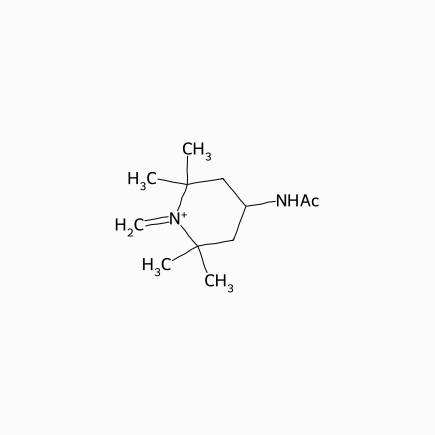 C=[N+]1C(C)(C)CC(NC(C)=O)CC1(C)C